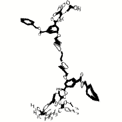 CC(C)(C)OC(=O)C[C@H](NC(=O)c1cc(OCCOCCOCCOc2cc(C(=O)N[C@@H](CC(=O)O)C(=O)O)cc(C(=O)OCc3ccccc3)c2)cc(C(=O)OCc2ccccc2)c1)C(=O)OC(C)(C)C